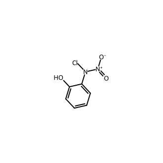 O=[N+]([O-])N(Cl)c1ccccc1O